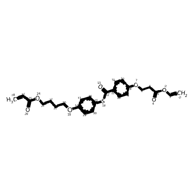 C=COC(=O)CCOc1ccc(C(=O)Sc2ccc(OCCCCOC(=O)C=C)cc2)cc1